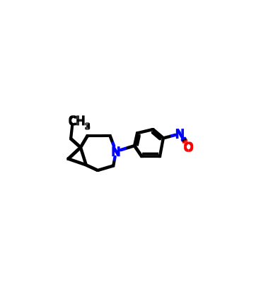 CCC12CCN(c3ccc(N=O)cc3)CCC1C2